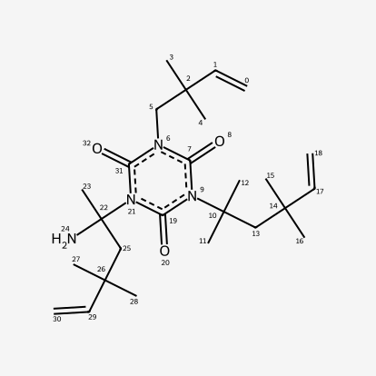 C=CC(C)(C)Cn1c(=O)n(C(C)(C)CC(C)(C)C=C)c(=O)n(C(C)(N)CC(C)(C)C=C)c1=O